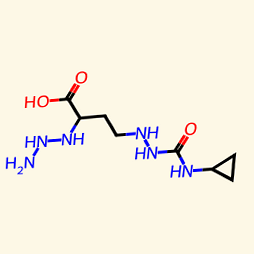 NNNC(CCNNC(=O)NC1CC1)C(=O)O